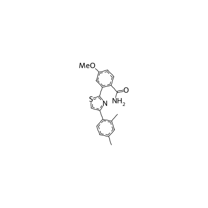 COc1ccc(C(N)=O)c(-c2nc(-c3ccc(C)cc3C)cs2)c1